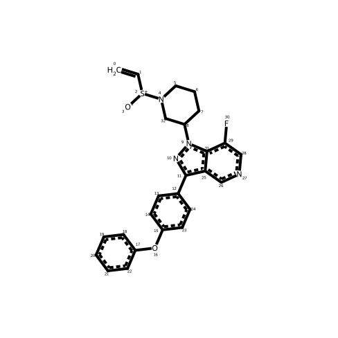 C=C[S+]([O-])N1CCCC(n2nc(-c3ccc(Oc4ccccc4)cc3)c3cncc(F)c32)C1